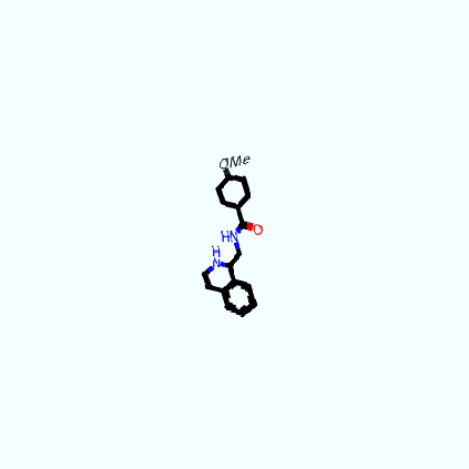 COC1CCC(C(=O)NCC2NCCc3ccccc32)CC1